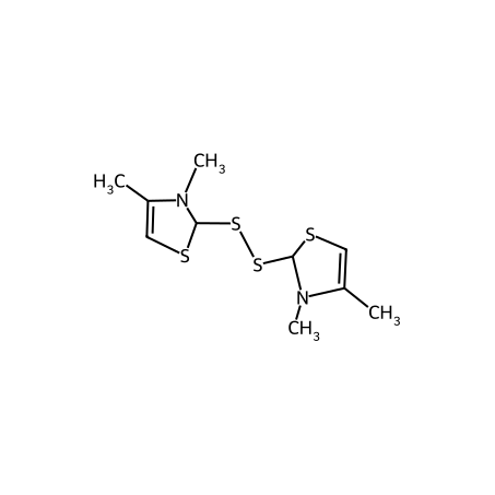 CC1=CSC(SSC2SC=C(C)N2C)N1C